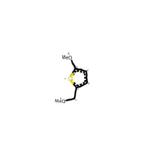 COCc1ccc(OC)s1